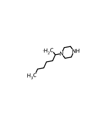 [CH2]C(CCCCC)N1CCNCC1